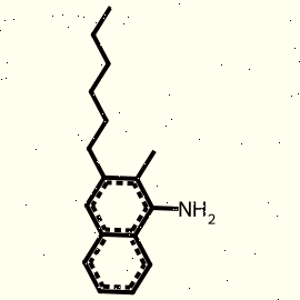 CCCCCCc1cc2ccccc2c(N)c1C